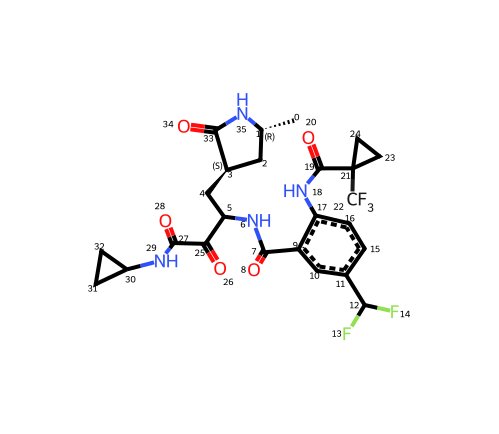 C[C@@H]1C[C@@H](CC(NC(=O)c2cc(C(F)F)ccc2NC(=O)C2(C(F)(F)F)CC2)C(=O)C(=O)NC2CC2)C(=O)N1